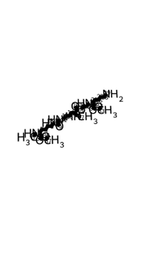 CNC(CCCCNC(=O)NCCCCC(NC)C(=O)OCCNC(CCCCN)C(=O)OC)C(=O)OC